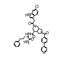 CNC(=O)[C@H](CCCc1ccccc1)NC(=O)C1CN(C(=O)Cc2c[nH]c3cc(Cl)ccc23)CC2CN(C(=O)c3ccc(-c4ccncc4)cc3)CC21